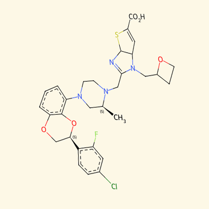 C[C@H]1CN(c2cccc3c2O[C@@H](c2ccc(Cl)cc2F)CO3)CCN1CC1=NC2SC(C(=O)O)=CC2N1CC1CCO1